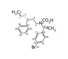 C=CC[C@H](CCN(C(=O)O)[C@@H](C)c1ccc(Br)cc1)c1ccccc1